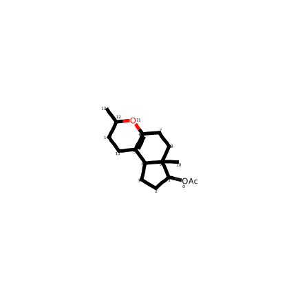 CC(=O)OC1CCC2C3=C(CCC12C)OC(C)CC3